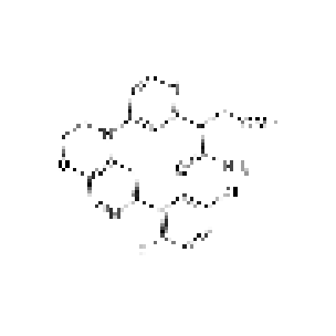 COCC(C(N)=O)c1cc(N2CCOc3cnc(-c4cc(Cl)ccc4F)cc32)ccn1